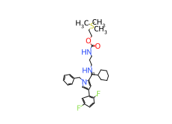 CS(C)(C)CCOC(=O)NCCCN[C@@H](c1cc(-c2cc(F)ccc2F)cn1Cc1ccccc1)C1CCCCC1